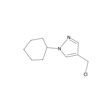 ClCc1cnn(C2CCCCC2)c1